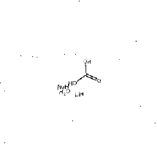 O.O=C(O)O.[LiH].[NaH]